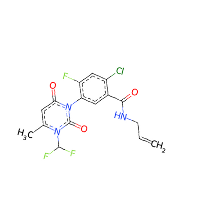 C=CCNC(=O)c1cc(-n2c(=O)cc(C)n(C(F)F)c2=O)c(F)cc1Cl